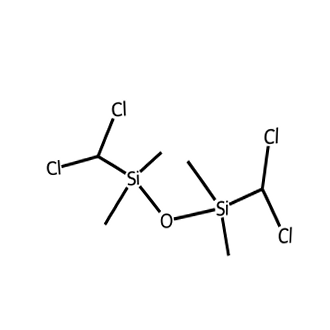 C[Si](C)(O[Si](C)(C)C(Cl)Cl)C(Cl)Cl